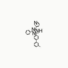 Cc1cccc(-c2ccc(C3(C)N=C(c4ccccc4)N=C(c4cccnc4)N3)cc2)c1